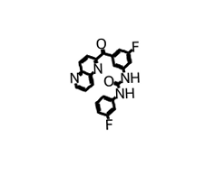 O=C(Nc1cccc(F)c1)Nc1cc(F)cc(C(=O)c2ccc3ncccc3n2)c1